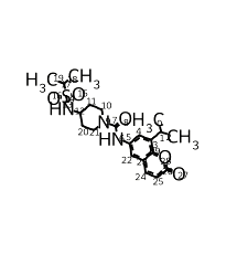 CC(C)c1cc(NC(=O)N2CCC(NS(=O)(=O)C(C)C)CC2)cc2ccc(=O)oc12